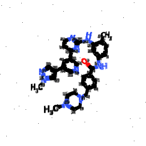 Cc1ccc(NC(=O)c2ccc(CN3CCN(C)CC3)cc2)cc1Nc1nccc(-c2cncc(-c3cnn(C)c3)c2)n1